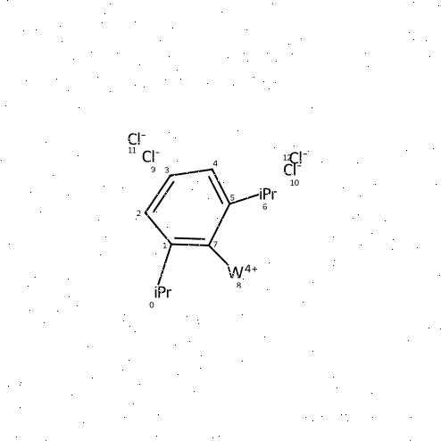 CC(C)c1cccc(C(C)C)[c]1[W+4].[Cl-].[Cl-].[Cl-].[Cl-]